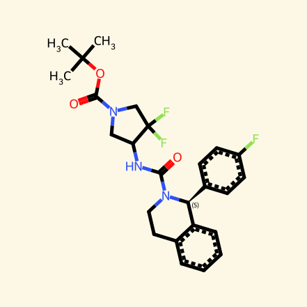 CC(C)(C)OC(=O)N1CC(NC(=O)N2CCc3ccccc3[C@@H]2c2ccc(F)cc2)C(F)(F)C1